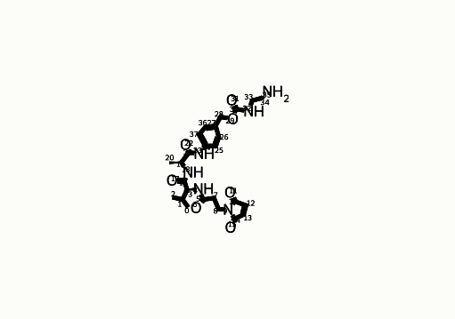 CC(C)[C@H](NC(=O)CCN1C(=O)C=CC1=O)C(=O)N[C@@H](C)C(=O)Nc1ccc(COC(=O)NCCN)cc1